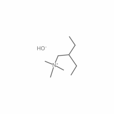 CCC(CC)C[N+](C)(C)C.[OH-]